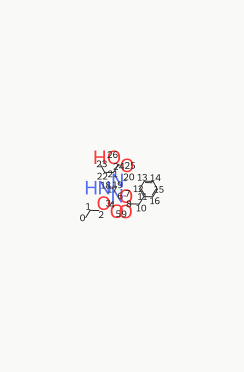 CCCOC(=O)N(OC(=O)Cc1ccccc1)C(=N)N(C)C(CC)C(=O)O